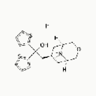 C[N+]1(C)[C@@H]2COC[C@H]1C[C@@H](CC(O)(c1cccs1)c1cccs1)C2.[I-]